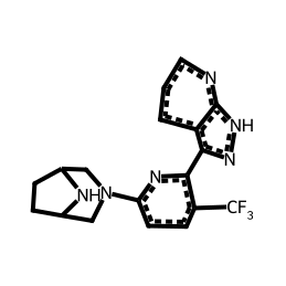 FC(F)(F)c1ccc(N2CC3CCC(C2)N3)nc1-c1n[nH]c2ncccc12